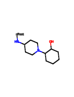 CCCCCNC1CCN(C2CCCCC2O)CC1